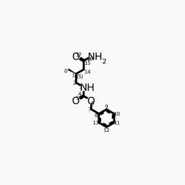 C[C@H](CNC(=O)OCc1ccccc1)CC(N)=O